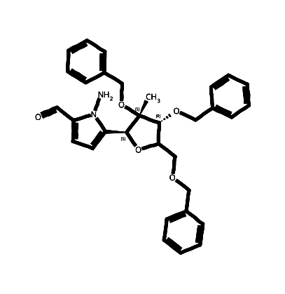 C[C@@]1(OCc2ccccc2)[C@H](OCc2ccccc2)C(COCc2ccccc2)O[C@H]1c1ccc(C=O)n1N